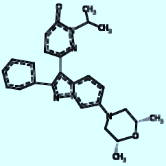 CC(C)n1nc(-c2c(-c3ccccc3)nn3cc(N4C[C@@H](C)O[C@@H](C)C4)ccc23)ccc1=O